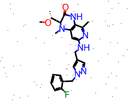 CO[C@H](C)[C@H]1C(=O)Nc2c(cc(NCc3cnn(Cc4ccccc4F)c3)nc2C)N1C